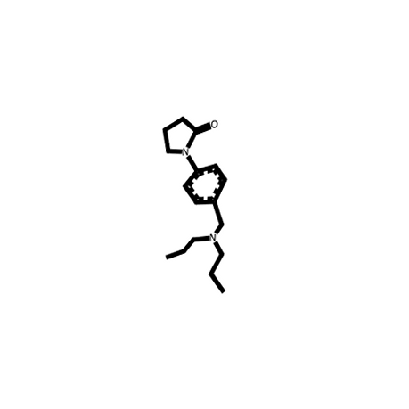 CCCN(CCC)Cc1ccc(N2CCCC2=O)cc1